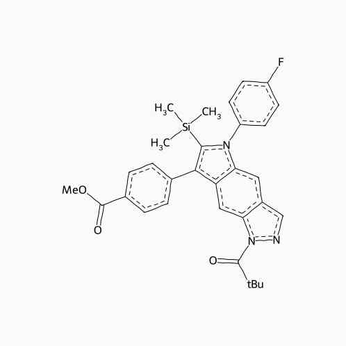 COC(=O)c1ccc(-c2c([Si](C)(C)C)n(-c3ccc(F)cc3)c3cc4cnn(C(=O)C(C)(C)C)c4cc23)cc1